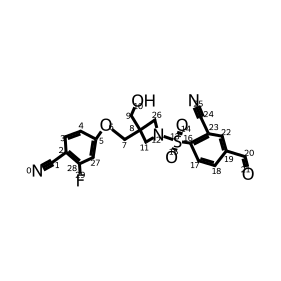 N#Cc1ccc(OCC2(CO)CN(S(=O)(=O)c3ccc(C=O)cc3C#N)C2)cc1F